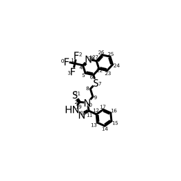 FC(F)(F)c1cc(SCCn2c(-c3ccccc3)n[nH]c2=S)c2ccccc2n1